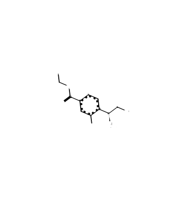 CCOC(=O)c1ccc([C@H](N)CO)c(C)c1